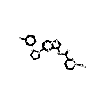 CN1CC=CC(C(=O)Nc2cnn3ccc(N4CCC[C@@H]4c4cccc(F)c4)nc23)=N1